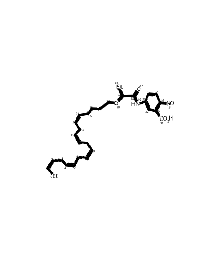 CC/C=C\C/C=C\C/C=C\C/C=C\C/C=C\CCCCOC(CC)C(=O)Nc1ccc(N=O)c(C(=O)O)c1